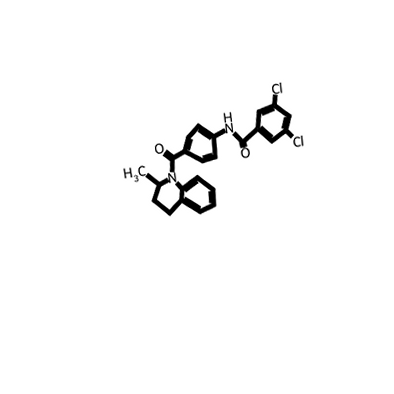 CC1CCc2ccccc2N1C(=O)c1ccc(NC(=O)c2cc(Cl)cc(Cl)c2)cc1